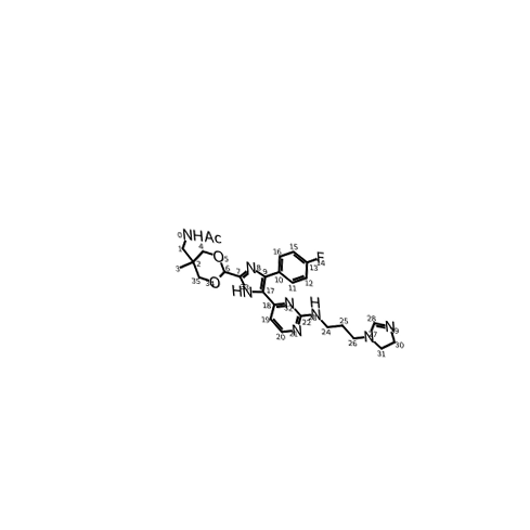 CC(=O)NCC1(C)COC(c2nc(-c3ccc(F)cc3)c(-c3ccnc(NCCCN4C=NCC4)n3)[nH]2)OC1